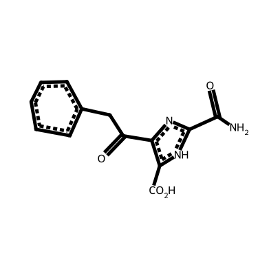 NC(=O)c1nc(C(=O)Cc2ccccc2)c(C(=O)O)[nH]1